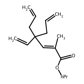 C=CCC(C=C)(C=C(C)C(=O)OCCC)CC=C